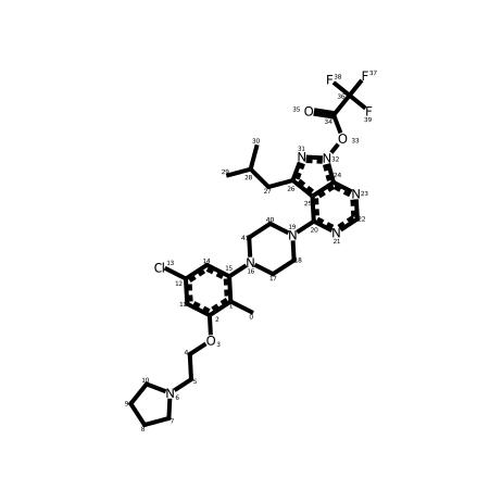 Cc1c(OCCN2CCCC2)cc(Cl)cc1N1CCN(c2ncnc3c2c(CC(C)C)nn3OC(=O)C(F)(F)F)CC1